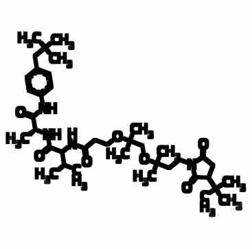 CC(C)C(NC(=O)CCOC(C)(C)COC(C)(C)CCN1C(=O)CC(C(C)(C)C)C1=O)C(=O)N[C@@H](C)C(=O)Nc1ccc(CC(C)(C)C)cc1